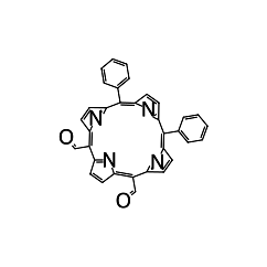 O=CC1=C2C=CC(=N2)C(C=O)=C2C=CC(=N2)C(c2ccccc2)=C2C=CC(=N2)C(c2ccccc2)=C2C=CC1=N2